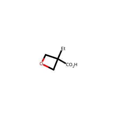 CCC1(C(=O)O)[CH]OC1